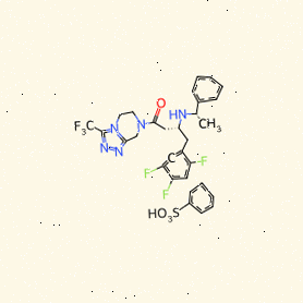 C[C@H](N[C@@H](CC(=O)N1CCn2c(nnc2C(F)(F)F)C1)Cc1cc(F)c(F)cc1F)c1ccccc1.O=S(=O)(O)c1ccccc1